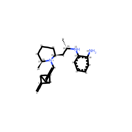 C=C1C2CC1C2=CN1[C@H](C[C@H](C)Nc2ccccc2N)CCC[C@@H]1C